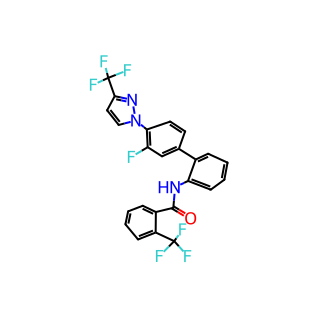 O=C(Nc1ccccc1-c1ccc(-n2ccc(C(F)(F)F)n2)c(F)c1)c1ccccc1C(F)(F)F